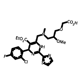 CCOC(=O)C1=C(CN(C)CC(COCC(=O)O)OC)NC(c2nccs2)=NC1c1ccc(F)cc1Cl